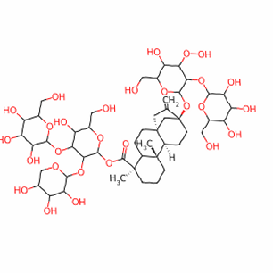 C=C1C[C@@]23CCC4[C@](C)(C(=O)OC5OC(CO)C(O)C(OC6OC(CO)C(O)C(O)C6O)C5OC5OCC(O)C(O)C5O)CCC[C@@]4(C)[C@@H]2CC[C@]1(OC1OC(CO)C(O)C(OO)C1OC1OC(CO)C(O)C(O)C1O)C3